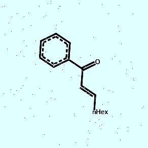 CCCCCC/C=C/C(=O)c1ccccc1